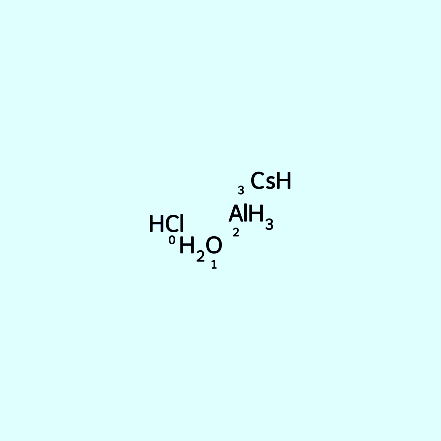 Cl.O.[AlH3].[CsH]